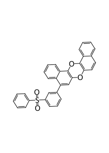 O=S(=O)(c1ccccc1)c1cccc(-c2cc3c(c4ccccc24)Oc2c(ccc4ccccc24)O3)c1